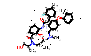 Cc1ccccc1Oc1ccc(CN(C)C[C@H]2Oc3c(NC(=O)Cc4ccc(C(F)(F)F)cc4F)cccc3C(=O)N([C@@H](C)CO)C[C@H]2C)cc1